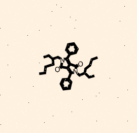 CCCCC(CC)CN1C(=O)C2=C(c3ccccc3)N(CC(CC)CCCC)C(=O)C2=C1c1ccccc1